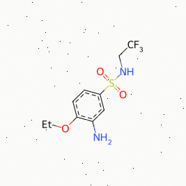 CCOc1ccc(S(=O)(=O)NCC(F)(F)F)cc1N